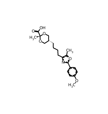 COc1ccc(-c2nc(CCCC[C@H]3CO[C@@](C)(C(=O)O)OC3)c(C)o2)cc1